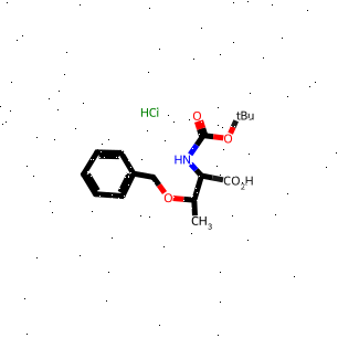 CC(OCc1ccccc1)C(NC(=O)OC(C)(C)C)C(=O)O.Cl